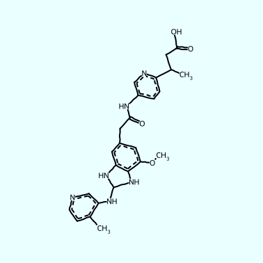 COc1cc(CC(=O)Nc2ccc(C(C)CC(=O)O)nc2)cc2c1NC(Nc1cnccc1C)N2